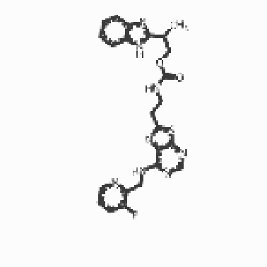 CC(COC(=O)NCCc1nc2c(NCc3ncccc3F)ncnc2s1)c1nc2ccccc2[nH]1